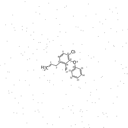 C=CCc1ccc(Cl)c(Oc2ccccc2)c1F